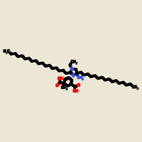 CC1(C(=O)O)C=CC=C(C(=O)O)C1.CCCCCCCCCCCCCCCCCCC1=NC(N)(CCCCCCCCCCCCCCCC)CN1CC